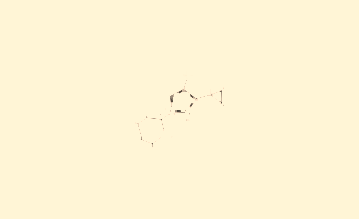 Brc1cn(C2CCCCO2)nc1C1CC1